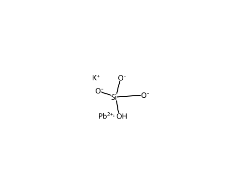 [K+].[O-][Si]([O-])([O-])O.[Pb+2]